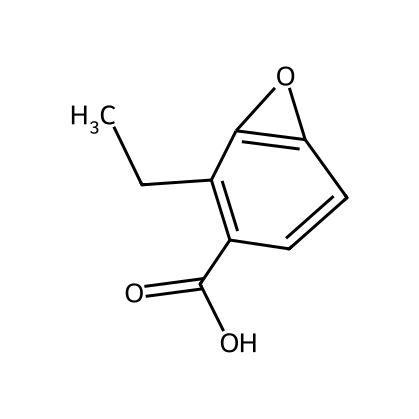 CCc1c(C(=O)O)ccc2c1O2